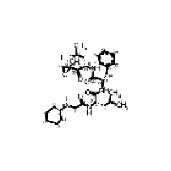 CC(C)C[C@H](NC(=O)CNN1CCCCC1)C(=O)N[C@@H](Cc1ccccc1)C(=O)N[C@@H](CC(C)C)C(=O)[C@@]1(C)CO1